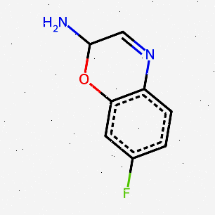 NC1C=Nc2ccc(F)cc2O1